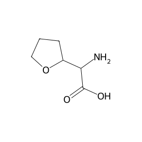 NC(C(=O)O)C1CCCO1